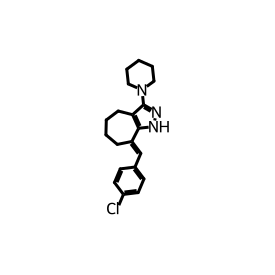 Clc1ccc(C=C2CCCCc3c(N4CCCCC4)n[nH]c32)cc1